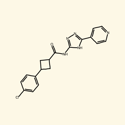 O=C(Nc1nnc(-c2ccncc2)[nH]1)C1CC(c2ccc(Cl)cc2)C1